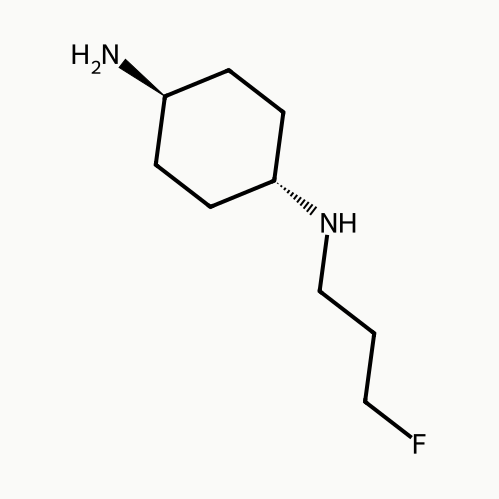 N[C@H]1CC[C@H](NCCCF)CC1